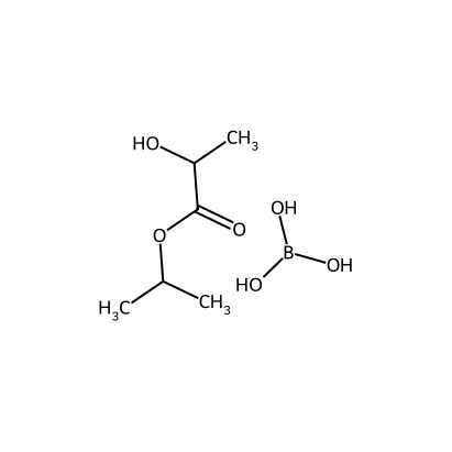 CC(C)OC(=O)C(C)O.OB(O)O